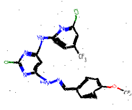 FC(F)(F)Oc1ccc(/C=N/Nc2cc(Nc3cc(C(F)(F)F)cc(Cl)n3)nc(Cl)n2)cc1